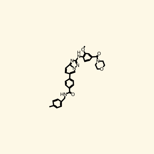 COc1cc(C(=O)N2CCOCC2)ccc1Nc1nc2ccc(-c3ccc(C(=O)NCc4ccc(C)cc4)cc3)cn2n1